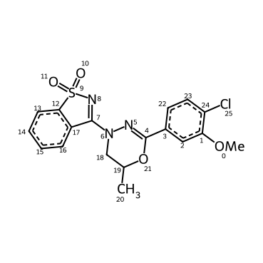 COc1cc(C2=NN(C3=NS(=O)(=O)c4ccccc43)CC(C)O2)ccc1Cl